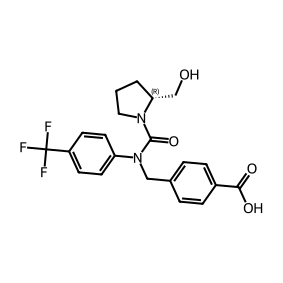 O=C(O)c1ccc(CN(C(=O)N2CCC[C@@H]2CO)c2ccc(C(F)(F)F)cc2)cc1